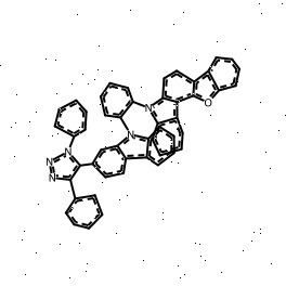 c1ccc(-c2nnn(-c3ccccc3)c2-c2ccc3c4ccccc4n(-c4ccccc4-n4c5ccccc5c5c6oc7ccccc7c6ccc54)c3c2)cc1